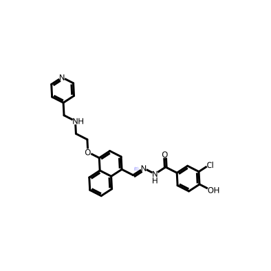 O=C(N/N=C/c1ccc(OCCNCc2ccncc2)c2ccccc12)c1ccc(O)c(Cl)c1